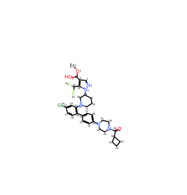 CCOC(O)c1cnn(C2CCCN(c3cc(Cl)ccc3-c3ccc(N4CCN(C(=O)C5CCC5)CC4)cc3)C2)c1C(F)F